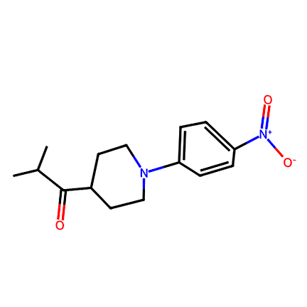 CC(C)C(=O)C1CCN(c2ccc([N+](=O)[O-])cc2)CC1